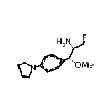 CO[C@H](c1ccc(N2CCCC2)cc1)[C@H](N)CF